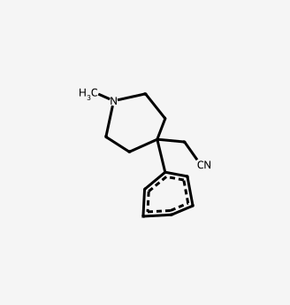 CN1CCC(CC#N)(c2ccccc2)CC1